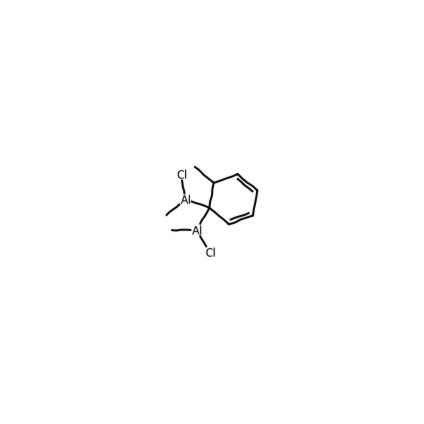 CC1C=CC=C[C]1([Al]([CH3])[Cl])[Al]([CH3])[Cl]